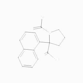 NC(=O)N1CCCC1(C(N)=O)c1cccc2ccccc12